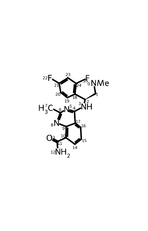 CNC[C@@H](Nc1nc(C)nc2c(C(N)=O)cccc12)c1ccc(F)cc1F